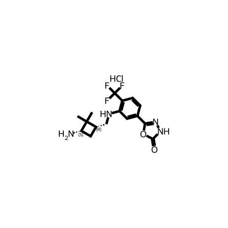 CC1(C)[C@H](CNc2cc(-c3n[nH]c(=O)o3)ccc2C(F)(F)F)C[C@@H]1N.Cl